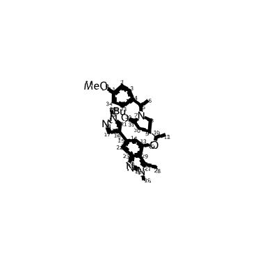 COc1ccc(C(C)N2C[C@H](C(C)Oc3cc(-c4cnn(C(C)(C)C)c4)cc4nn(C)c(C)c34)CC2=O)cc1